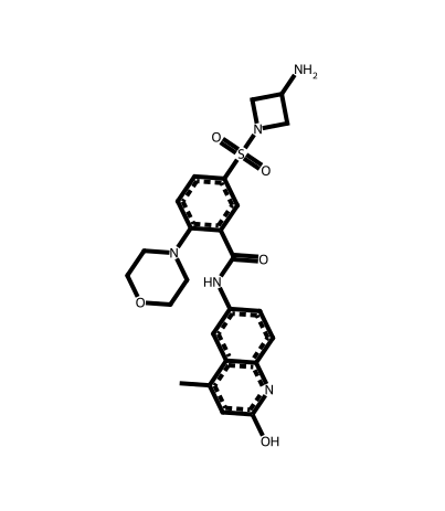 Cc1cc(O)nc2ccc(NC(=O)c3cc(S(=O)(=O)N4CC(N)C4)ccc3N3CCOCC3)cc12